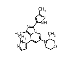 Cc1cc(-c2nc(C)c3c(-c4ccnn4C)cc(N4CCOC[C@H]4C)nn23)[nH]n1